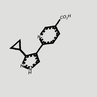 O=C(O)c1ccc(-c2c[nH]nc2C2CC2)nc1